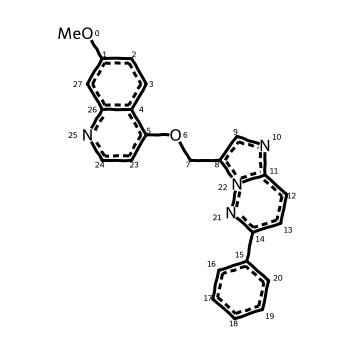 COc1ccc2c(OCc3cnc4ccc(-c5ccccc5)nn34)ccnc2c1